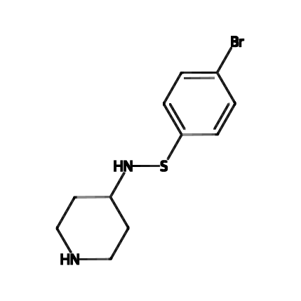 Brc1ccc(SNC2CCNCC2)cc1